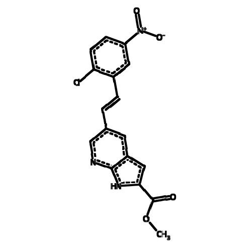 COC(=O)c1cc2cc(C=Cc3cc([N+](=O)[O-])ccc3Cl)cnc2[nH]1